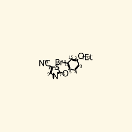 CCOc1ccc(Oc2ncc(C#N)s2)c(Br)c1